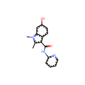 Cc1c(C(=O)Nc2ccccn2)c2ccc(O)cc2n1C